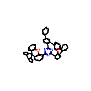 c1ccc(-c2ccc(-c3nc(-c4cccc5c4Oc4ccccc4C54c5ccccc5-c5ccccc54)nc(-c4cccc5c4oc4ccccc45)n3)c(-c3ccccc3)c2)cc1